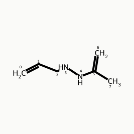 C=CCNNC(=C)C